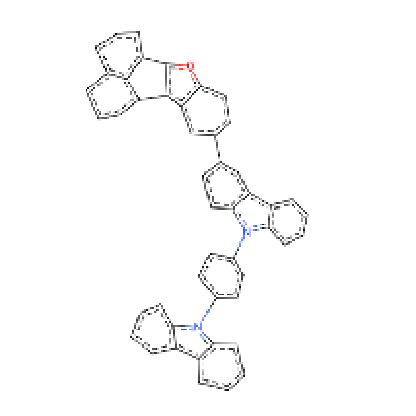 c1cc2c3c(cccc3c1)-c1c-2oc2ccc(-c3ccc4c(c3)c3ccccc3n4-c3ccc(-n4c5ccccc5c5ccccc54)cc3)cc12